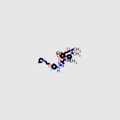 CCN(CC)C(=O)CCc1ccc(Oc2nc(Nc3ccc(OCCCN4CCCCC4)c(F)c3)ncc2C(=O)Nc2c(C)cccc2C)c(OC)c1